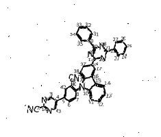 N#Cc1ncc(-c2ccc(-n3c4ccccc4c4cc(-c5nc(-c6ccccc6)nc(-c6ccccc6)n5)ccc43)c(C#N)c2)cn1